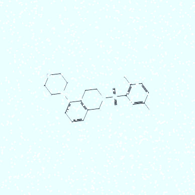 O=S(=O)(c1cc(Cl)ccc1Cl)N1CCc2c(cccc2N2CCNCC2)C1